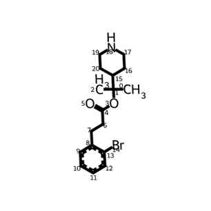 CC(C)(OC(=O)CCc1ccccc1Br)C1CCNCC1